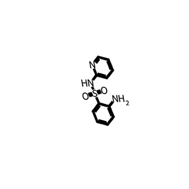 Nc1ccccc1S(=O)(=O)Nc1ccccn1